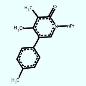 CCCn1cc(-c2ccc(C)cc2)c(C)c(C)c1=O